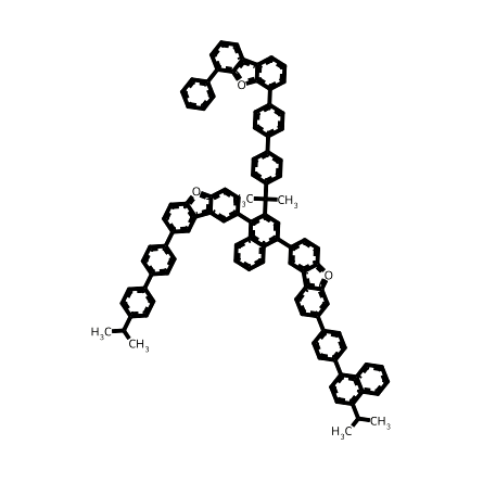 CC(C)c1ccc(-c2ccc(-c3ccc4oc5ccc(-c6c(C(C)(C)c7ccc(-c8ccc(-c9cccc%10c9oc9c(-c%11ccccc%11)cccc9%10)cc8)cc7)cc(-c7ccc8oc9cc(-c%10ccc(-c%11ccc(C(C)C)c%12ccccc%11%12)cc%10)ccc9c8c7)c7ccccc67)cc5c4c3)cc2)cc1